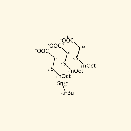 CCCCCCCCSCC(=O)[O-].CCCCCCCCSCC(=O)[O-].CCCCCCCCSCC(=O)[O-].CCC[CH2][Sn+3]